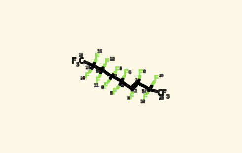 F/C(=C(/F)C(F)(F)C(F)(F)C(F)(F)C(F)(F)C(F)(F)F)C(F)(F)C(F)(F)F